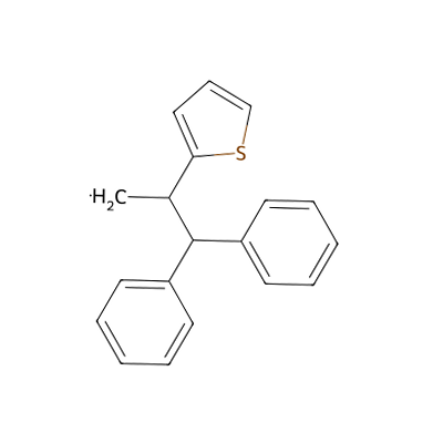 [CH2]C(c1cccs1)C(c1ccccc1)c1ccccc1